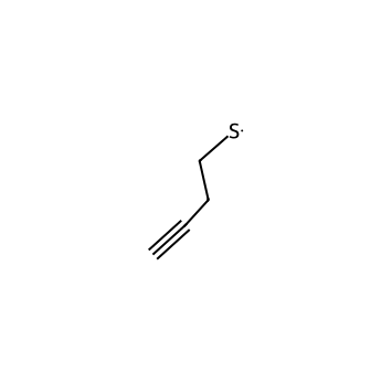 C#CCC[S]